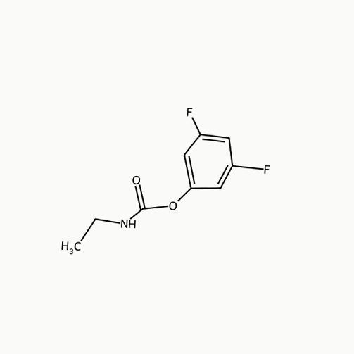 CCNC(=O)Oc1cc(F)cc(F)c1